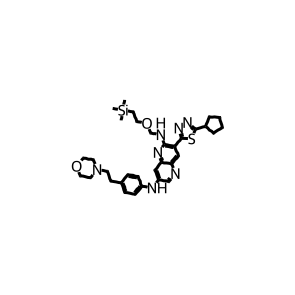 C[Si](C)(C)CCOCNc1nc2cc(Nc3ccc(CCN4CCOCC4)cc3)cnc2cc1-c1nnc(C2CCCC2)s1